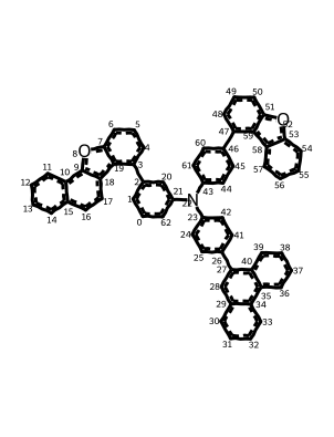 c1cc(-c2cccc3oc4c5ccccc5ccc4c23)cc(N(c2ccc(-c3cc4ccccc4c4ccccc34)cc2)c2ccc(-c3cccc4oc5ccccc5c34)cc2)c1